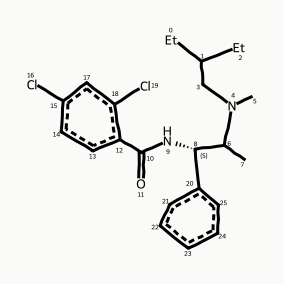 CCC(CC)CN(C)C(C)[C@@H](NC(=O)c1ccc(Cl)cc1Cl)c1ccccc1